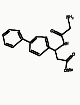 COC(=O)CC(NC(=O)CN)c1ccc(-c2ccccc2)cc1